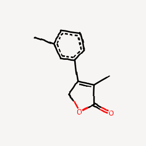 CC1=C(c2cccc(C)c2)COC1=O